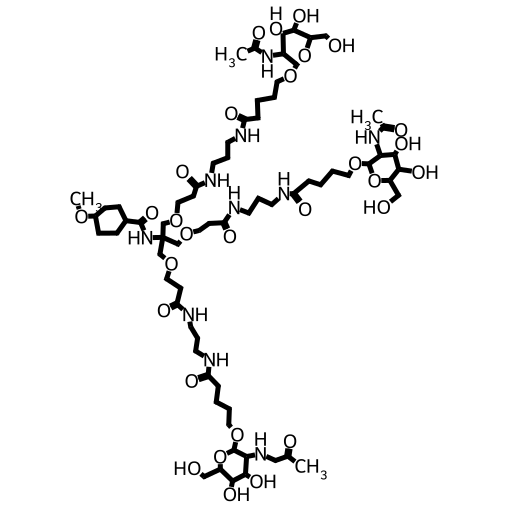 COC1CCC(C(=O)NC(COCCC(=O)NCCCNC(=O)CCCCOC2OC(CO)C(O)C(O)C2NCC(C)=O)(COCCC(=O)NCCCNC(=O)CCCCOC2OC(CO)C(O)C(O)C2NC(C)=O)COCCC(=O)NCCCNC(=O)CCCCOC2OC(CO)C(O)C(O)C2NC(C)=O)CC1